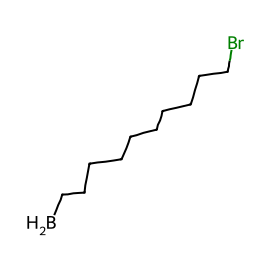 BCCCCCCCCCCBr